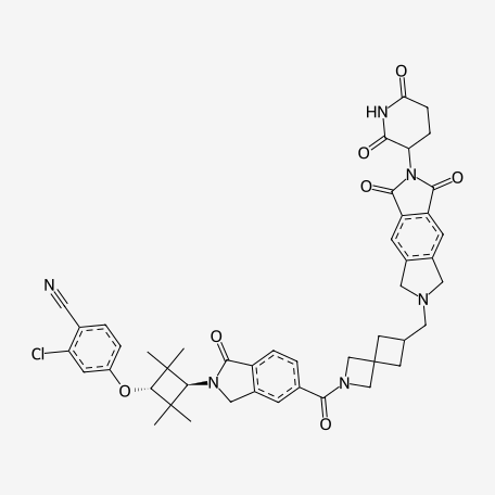 CC1(C)[C@H](Oc2ccc(C#N)c(Cl)c2)C(C)(C)[C@H]1N1Cc2cc(C(=O)N3CC4(CC(CN5Cc6cc7c(cc6C5)C(=O)N(C5CCC(=O)NC5=O)C7=O)C4)C3)ccc2C1=O